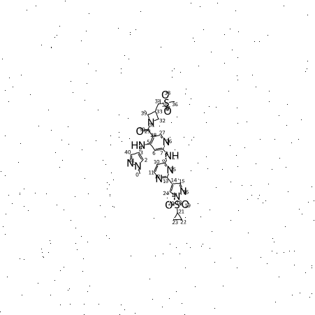 Cn1cc(Nc2cc(Nc3ccnc(-c4cnn(S(=O)(=O)C5CC5)c4)n3)ncc2C(=O)N2CC(CS(C)(=O)=O)C2)cn1